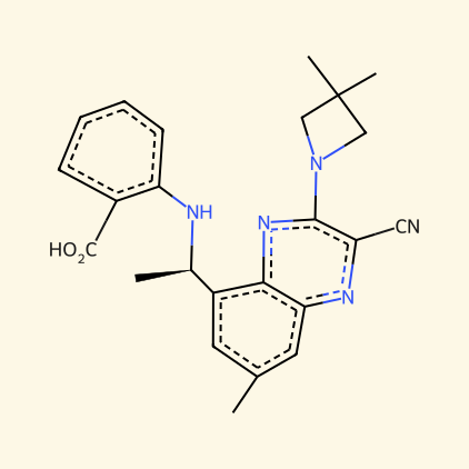 Cc1cc([C@@H](C)Nc2ccccc2C(=O)O)c2nc(N3CC(C)(C)C3)c(C#N)nc2c1